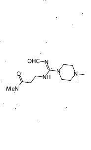 CNC(=O)CCN/C(=N\C=O)N1CCN(C)CC1